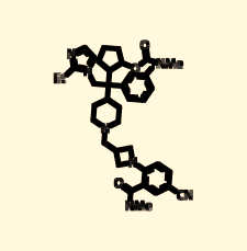 CCc1nccn1CC(c1cccc(F)c1)(C1CCN(CC2CN(c3ccc(C#N)cc3C(=O)NC)C2)CC1)C1CCCC1OC(=O)NC